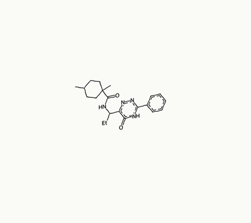 CCC(NC(=O)C1(C)CCC(C)CC1)c1nnc(-c2ccccc2)[nH]c1=O